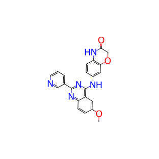 COc1ccc2nc(-c3cccnc3)nc(Nc3ccc4c(c3)OCC(=O)N4)c2c1